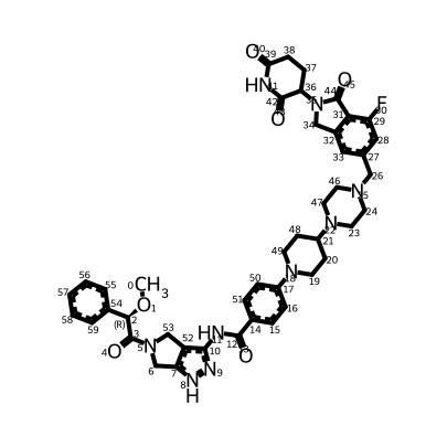 CO[C@@H](C(=O)N1Cc2[nH]nc(NC(=O)c3ccc(N4CCC(N5CCN(Cc6cc(F)c7c(c6)CN(C6CCC(=O)NC6=O)C7=O)CC5)CC4)cc3)c2C1)c1ccccc1